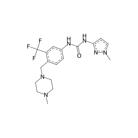 CN1CCN(Cc2ccc(NC(=O)Nc3ccn(C)n3)cc2C(F)(F)F)CC1